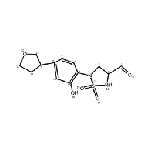 O=CC1CN(c2ccc(C3CCOC3)cc2O)S(=O)(=O)N1